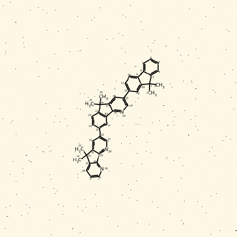 CC1(C)c2ccccc2-c2ccc(-c3cnc4c(c3)C(C)(C)c3ccc(-c5cnc6c(c5)C(C)(C)c5cccnc5-6)cc3-4)cc21